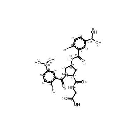 O=C(O)CNC(=O)[C@@H]1C[C@H](NC(=O)c2cc(B(O)O)ccc2F)CN1C(=O)c1cc(B(O)O)ccc1F